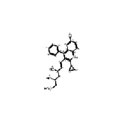 O=C(O)CC(O)CC(O)/C=C/c1c(C2CC2)nc2ccc(Cl)cc2c1-c1ccccc1